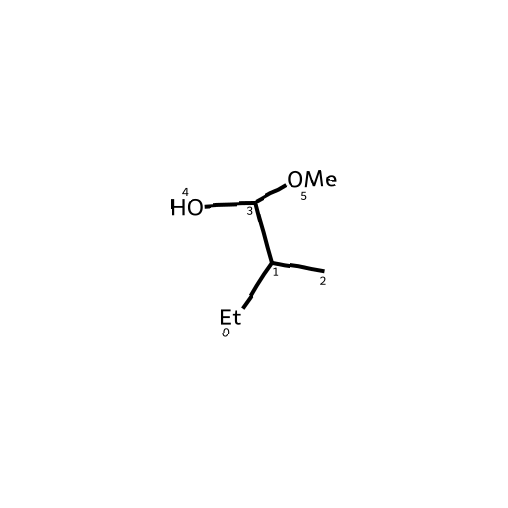 CCC(C)C(O)OC